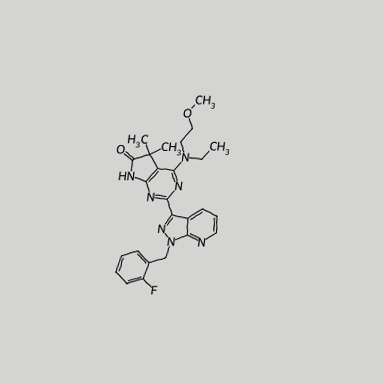 CCN(CCOC)c1nc(-c2nn(Cc3ccccc3F)c3ncccc23)nc2c1C(C)(C)C(=O)N2